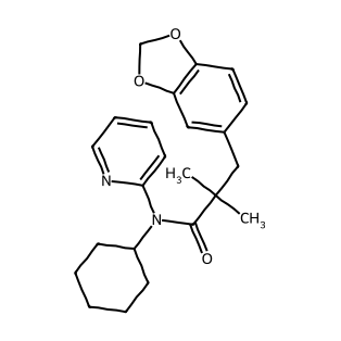 CC(C)(Cc1ccc2c(c1)OCO2)C(=O)N(c1ccccn1)C1CCCCC1